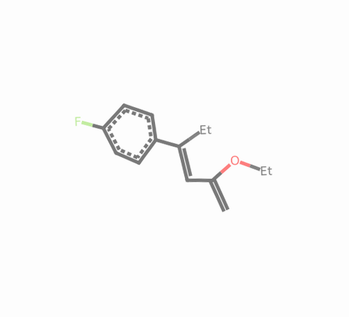 C=C(/C=C(\CC)c1ccc(F)cc1)OCC